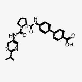 CC(C)c1ncc(NC(=O)N2CCC[C@@H]2C(=O)Nc2ccc(-c3ccc(C(=O)O)cc3)cc2)cn1